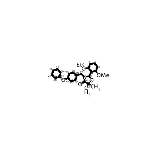 CCOc1cccc(OC)c1C1OC(C)(C)C(=O)N1Cc1ccc(Oc2ccccc2)cc1